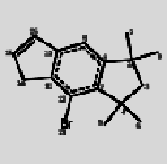 CC1(C)CC(C)(C)c2c1cc1c(c2Br)CC=C1